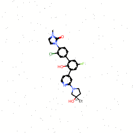 CC[C@]1(O)CCN(c2cc(-c3cc(F)cc(-c4ccc(-n5ccn(C)c5=O)c(Cl)c4)c3O)ccn2)C1